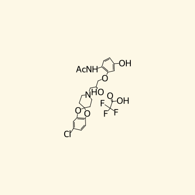 CC(=O)Nc1ccc(O)cc1OC[C@@H](O)CN1CCC2(CC1)Oc1ccc(Cl)cc1O2.O=C(O)C(F)(F)F